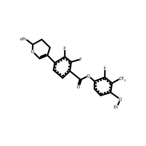 CCCC1CCC(c2ccc(C(=O)Oc3ccc(OCC)c(C(F)(F)F)c3F)c(F)c2F)=CO1